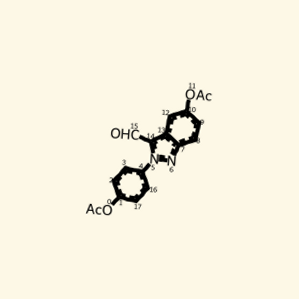 CC(=O)Oc1ccc(-n2nc3ccc(OC(C)=O)cc3c2C=O)cc1